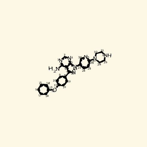 Nc1ncnc2c1c(-c1ccc(Oc3ccccc3)cc1)nn2-c1ccc(N2CCNCC2)nc1